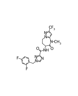 CN1C(=O)C(NC(=O)c2ncn(Cc3ccc(F)cc3F)n2)CCn2nc(C(F)(F)F)cc21